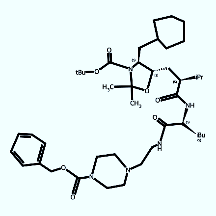 CC[C@H](C)[C@H](NC(=O)[C@@H](C[C@@H]1OC(C)(C)N(C(=O)OC(C)(C)C)[C@H]1CC1CCCCC1)C(C)C)C(=O)NCCN1CCN(C(=O)OCc2ccccc2)CC1